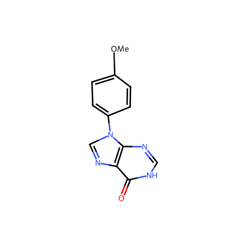 COc1ccc(-n2cnc3c(=O)[nH]cnc32)cc1